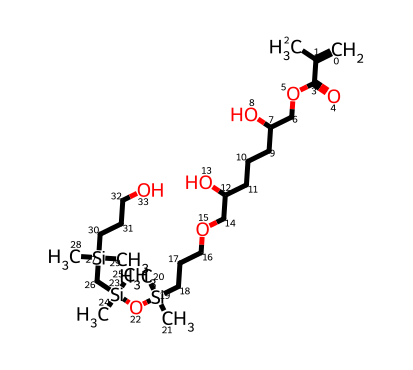 C=C(C)C(=O)OCC(O)CCCC(O)COCCC[Si](C)(C)O[Si](C)(C)C[Si](C)(C)CCCO